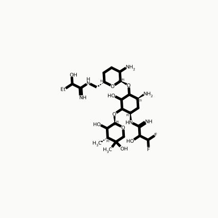 CCC(O)C(=N)NC[C@@H]1CCC(N)[C@@H](OC2C(O)C(O[C@H]3OCC(C)(O)[C@H](C)C3O)[C@H](NC(=N)C(O)C(F)F)C[C@@H]2N)O1